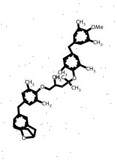 COc1c(C)cc(Cc2cc(C)c(OC(C)(C)CC(O)COc3c(C)cc(Cc4cc5c6c(c4)CC(C5)O6)cc3C)c(C)c2)cc1C